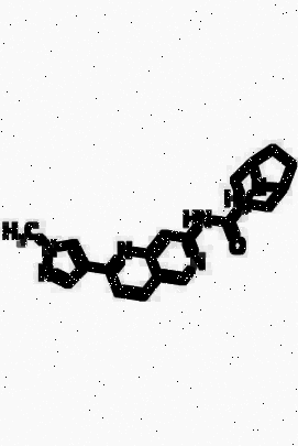 CN1C2CCC1CN(C(=O)Nc1cc3nc(-c4cnn(C)c4)ccc3cn1)C2